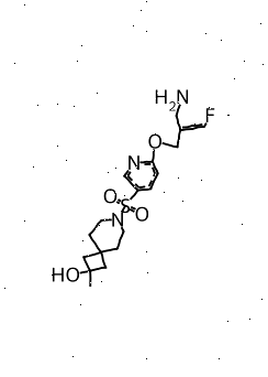 CC1(O)CC2(CCN(S(=O)(=O)c3ccc(OC/C(=C/F)CN)nc3)CC2)C1